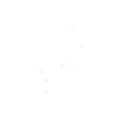 Cc1ncc(-c2cc3cc(NC(=O)c4ccnc(N5CCN(C)CC5)c4)ncc3cn2)s1